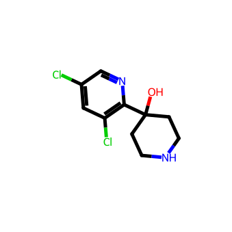 OC1(c2ncc(Cl)cc2Cl)CCNCC1